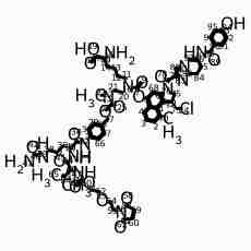 Cc1cccc2c(OC(=O)N(CCCC[C@H](N)C(=O)O)CCN(C)C(=O)OCc3ccc(NC(=O)[C@H](CCCNC(N)=O)NC(=O)[C@@H](NC(=O)OCCOCCN4C(=O)C=CC4=O)C(C)C)cc3)cc3c(c12)[C@H](CCl)CN3C(=O)c1cn2c(n1)CCC(NC(=O)c1ccc(O)cc1)=C2